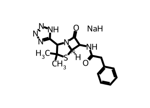 CC1(C)S[C@@H]2C(NC(=O)Cc3ccccc3)C(=O)N2C1c1nnn[nH]1.[NaH]